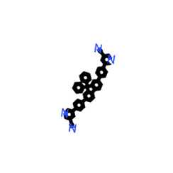 N#Cc1cncc(-c2ccc(-c3ccc4c(c3)C(c3ccccc3)(c3ccccc3)c3cc(-c5ccc(-c6cncc(C#N)c6)cc5)ccc3-4)cc2)c1